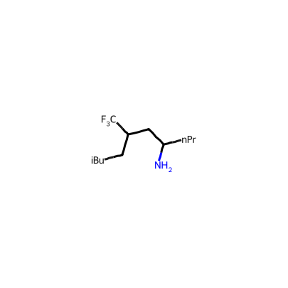 CCCC(N)CC(CC(C)CC)C(F)(F)F